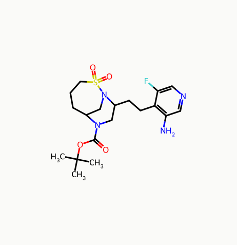 CC(C)(C)OC(=O)N1CC(CCc2c(N)cncc2F)N2CC1CCCS2(=O)=O